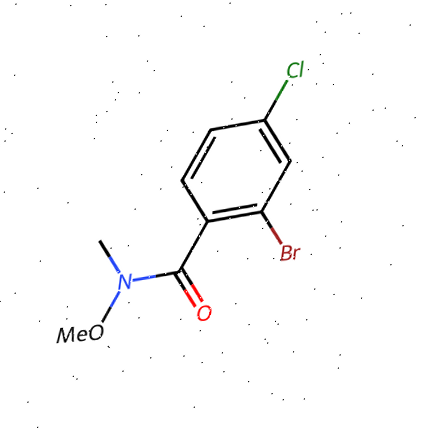 CON(C)C(=O)c1ccc(Cl)cc1Br